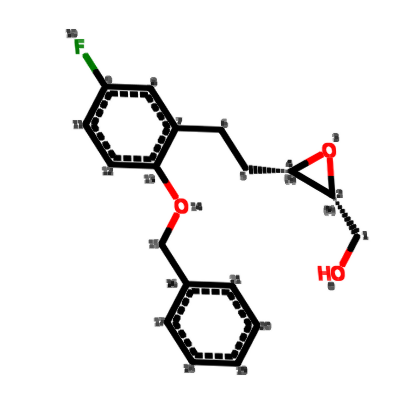 OC[C@H]1O[C@H]1CCc1cc(F)ccc1OCc1ccccc1